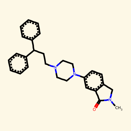 CN1Cc2ccc(N3CCN(CCC(c4ccccc4)c4ccccc4)CC3)cc2C1=O